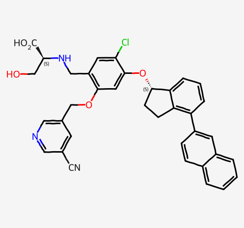 N#Cc1cncc(COc2cc(O[C@H]3CCc4c(-c5ccc6ccccc6c5)cccc43)c(Cl)cc2CN[C@@H](CO)C(=O)O)c1